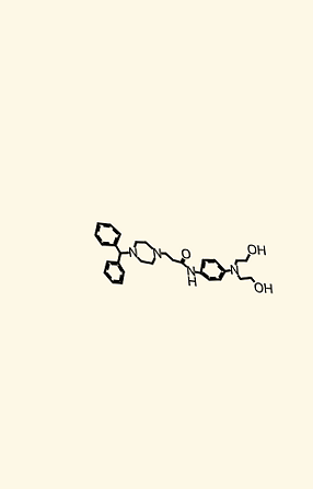 O=C(CCN1CCN(C(c2ccccc2)c2ccccc2)CC1)Nc1ccc(N(CCO)CCO)cc1